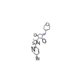 Cc1sc(C2=NCC(Br)C=C2)nc1C1C(=O)C/C(=C\C2CCOCC2)C1=O